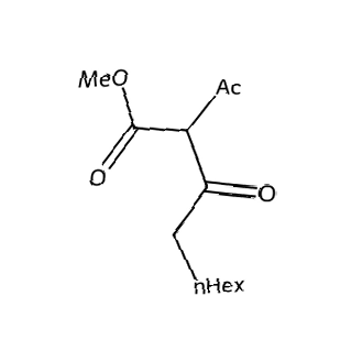 CCCCCCCC(=O)C(C(C)=O)C(=O)OC